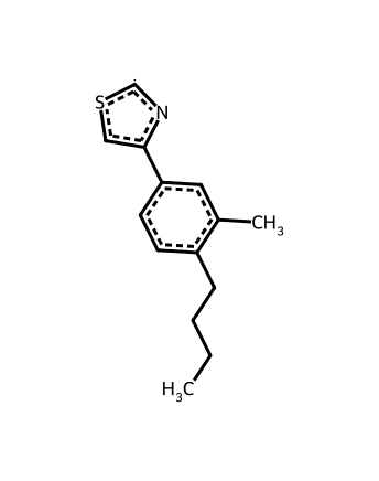 CCCCc1ccc(-c2cs[c]n2)cc1C